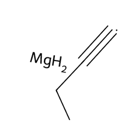 [C]#CCC.[MgH2]